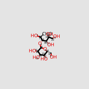 O=C[C@H](O)[C@@H](OC1O[C@H](CO)[C@@H](O)[C@H](O)[C@H]1O)[C@@H](O)[C@H](O)CO